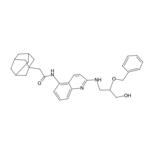 O=C(CC12CC3CC(CC(C3)C1)C2)Nc1cccc2nc(NCC(CO)OCc3ccccc3)ccc12